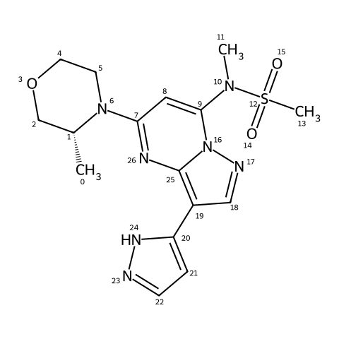 C[C@@H]1COCCN1c1cc(N(C)S(C)(=O)=O)n2ncc(-c3ccn[nH]3)c2n1